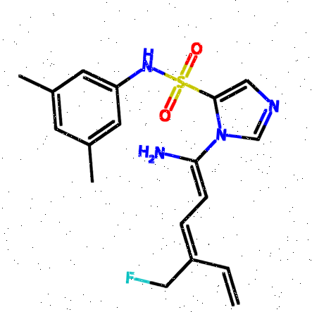 C=C/C(=C\C=C(/N)n1cncc1S(=O)(=O)Nc1cc(C)cc(C)c1)CF